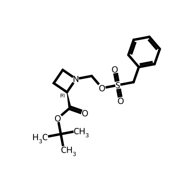 CC(C)(C)OC(=O)[C@H]1CCN1COS(=O)(=O)Cc1ccccc1